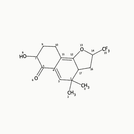 CC1(C)C=C2C(=O)C(O)CCC2=C2OC(C(F)(F)F)CC21